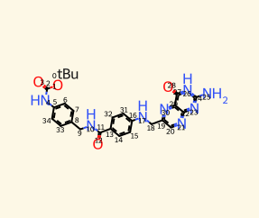 CC(C)(C)OC(=O)Nc1ccc(CNC(=O)c2ccc(NCc3cnc4nc(N)[nH]c(=O)c4n3)cc2)cc1